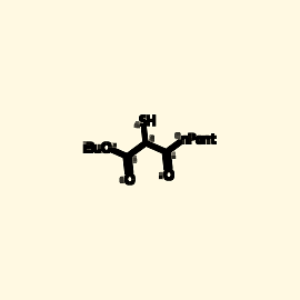 CCCCCC(=O)C(S)C(=O)OCC(C)C